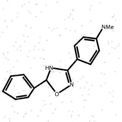 CNc1ccc(C2=NOC(c3ccccc3)N2)cc1